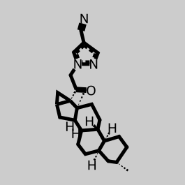 C[C@H]1CC[C@H]2[C@H](CC[C@@H]3[C@@H]2CC[C@@]2(C)[C@H]3CC3C[C@]32C(=O)Cn2cc(C#N)cn2)C1